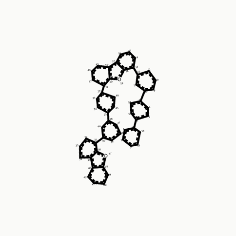 c1ccc(-c2ccc(-c3cccc(-c4cccc5c4oc4c(-c6ccc(-c7cccc(-c8cccc9c8oc8ccccc89)c7)cc6)cccc45)c3)cc2)cc1